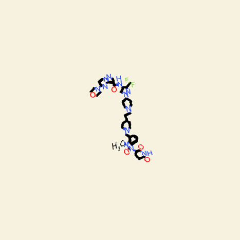 Cn1c(=O)n(C2CCC(=O)NC2=O)c2cccc(CN3CCC(CCN4CCC(n5cc(NC(=O)c6cnn7ccc(N8CCOCC8)nc67)c(C(F)F)n5)CC4)CC3)c21